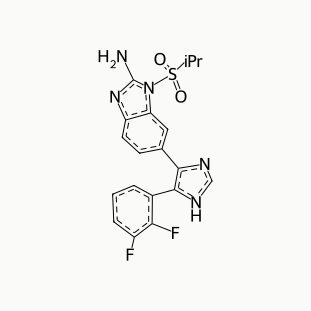 CC(C)S(=O)(=O)n1c(N)nc2ccc(-c3nc[nH]c3-c3cccc(F)c3F)cc21